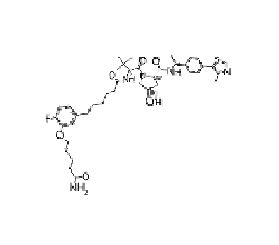 Cc1ncsc1-c1ccc([C@H](C)NC(=O)[C@@H]2C[C@@H](O)CN2C(=O)[C@@H](NC(=O)CCCCCc2ccc(F)c(OCCCCC(N)=O)c2)C(C)(C)C)cc1